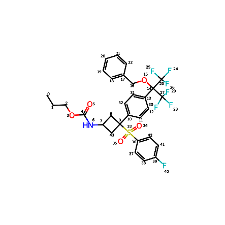 CCCOC(=O)NC1CC(c2ccc(C(OCc3ccccc3)(C(F)(F)F)C(F)(F)F)cc2)(S(=O)(=O)c2ccc(F)cc2)C1